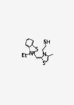 CC[n+]1c(/C=C2/SC=C(C)N2CCS)sc2ccccc21